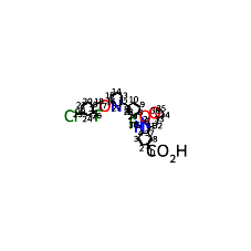 O=C(O)c1ccc2nn(Oc3ccc(-c4cccc(OCc5ccc(Cl)cc5F)n4)cc3F)c(CC3CCO3)c2c1